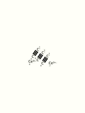 [C-]#[C-].[C-]#[C-].[C-]#[C-].[Ce+3].[Ce+3]